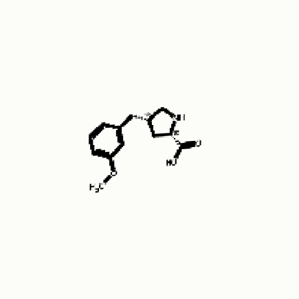 COc1cccc(C[C@@H]2CN[C@H](C(=O)O)C2)c1